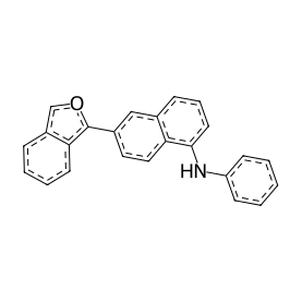 c1ccc(Nc2cccc3cc(-c4occ5ccccc45)ccc23)cc1